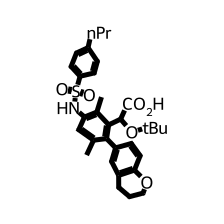 CCCc1ccc(S(=O)(=O)Nc2cc(C)c(-c3ccc4c(c3)CCCO4)c(C(OC(C)(C)C)C(=O)O)c2C)cc1